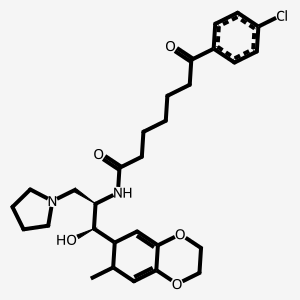 CC1C=C2OCCOC2=CC1[C@@H](O)[C@@H](CN1CCCC1)NC(=O)CCCCCC(=O)c1ccc(Cl)cc1